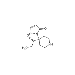 CCC(=O)C1(N2C(=O)C=CC2=O)CCNCC1